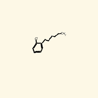 CCCCC[CH]c1ccccc1Cl